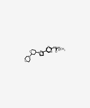 CNC(=O)Nc1ncc(-c2ccn(C3CCOC(N4CCOCC4)C3)n2)cn1